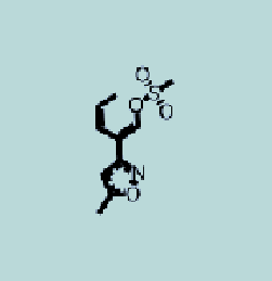 C/C=C\C(=C/OS(C)(=O)=O)c1cc(C)on1